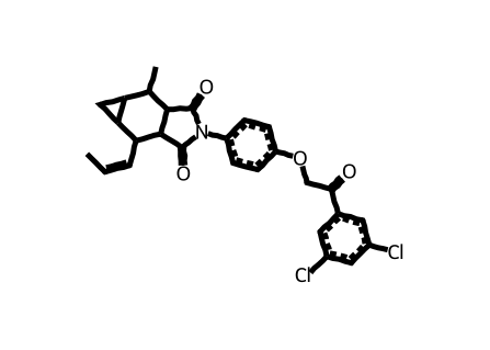 C/C=C\C1C2CC2C(C)C2C(=O)N(c3ccc(OCC(=O)c4cc(Cl)cc(Cl)c4)cc3)C(=O)C12